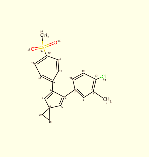 Cc1cc(C2=CC3(C=C2c2ccc(S(C)(=O)=O)cc2)CC3)ccc1Cl